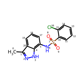 Cc1n[nH]c2c(NS(=O)(=O)c3ccccc3Cl)cccc12